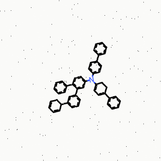 C1=CCC(c2cccc(-c3cc(N(C4=CC=C(c5ccccc5)CC4)c4ccc(-c5ccccc5)cc4)ccc3-c3ccccc3)c2)C=C1